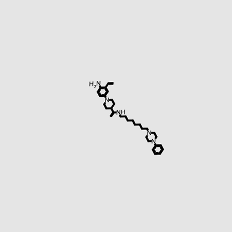 C=Cc1cc(N2CCC(C(=C)NCCCCCCCCN3CCN(c4ccccc4)CC3)CC2)ccc1N